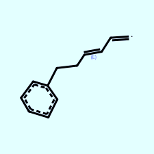 [CH]=C/C=C/CCc1ccccc1